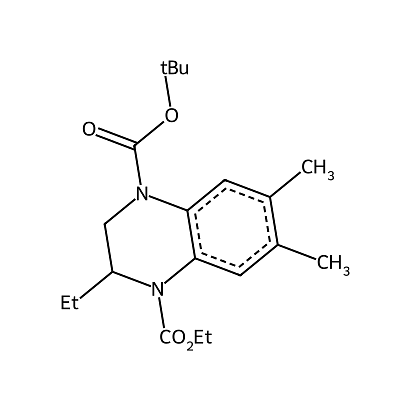 CCOC(=O)N1c2cc(C)c(C)cc2N(C(=O)OC(C)(C)C)CC1CC